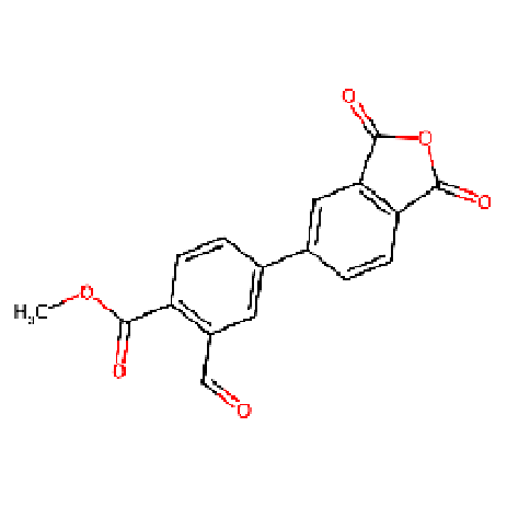 COC(=O)c1ccc(-c2ccc3c(c2)C(=O)OC3=O)cc1C=O